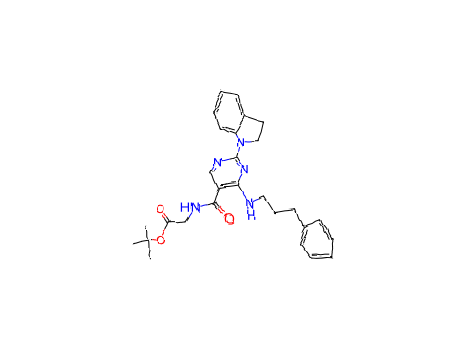 CC(C)(C)OC(=O)CNC(=O)c1cnc(N2CCc3ccccc32)nc1NCCCc1ccccc1